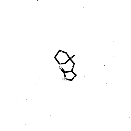 CC1(CC2CCNC2=O)CCCCC1